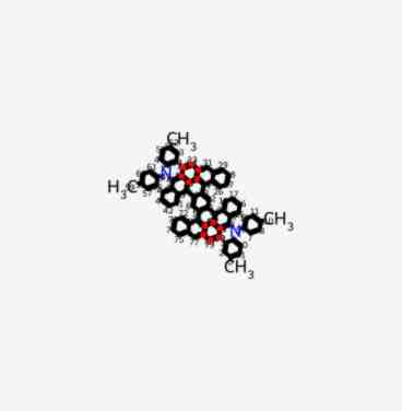 Cc1ccc(N(c2ccc(C)cc2)c2c3ccccc3c(-c3cc(-c4c5ccccc5cc5ccccc45)c(-c4c5ccccc5c(N(c5ccc(C)cc5)c5ccc(C)cc5)c5ccccc45)cc3-c3c4ccccc4cc4ccccc34)c3ccccc23)cc1